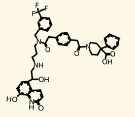 O=C(Cc1ccc(CC(=O)N(CCCNCC(O)c2ccc(O)c3[nH]c(=O)ccc23)Cc2cccc(C(F)(F)F)c2)cc1)N1CCC(C(=O)O)(c2ccccc2)CC1